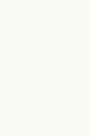 [C]1=C/C=C/C=C/CCCCCCCCCCC\1